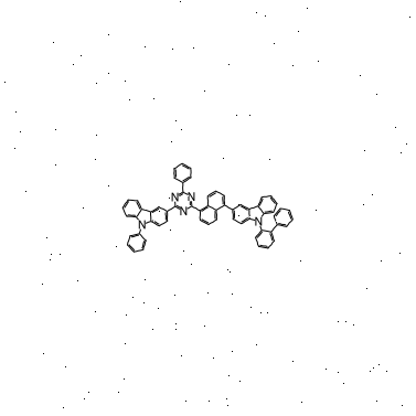 c1ccc(-c2nc(-c3ccc4c(c3)c3ccccc3n4-c3ccccc3)nc(-c3cccc4c(-c5ccc6c(c5)c5ccccc5n6-c5ccccc5-c5ccccc5)cccc34)n2)cc1